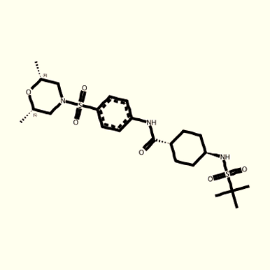 C[C@@H]1CN(S(=O)(=O)c2ccc(NC(=O)[C@H]3CC[C@H](NS(=O)(=O)C(C)(C)C)CC3)cc2)C[C@H](C)O1